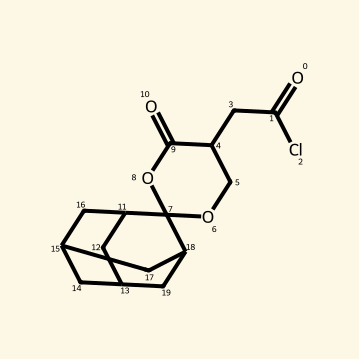 O=C(Cl)CC1COC2(OC1=O)C1CC3CC(C1)CC2C3